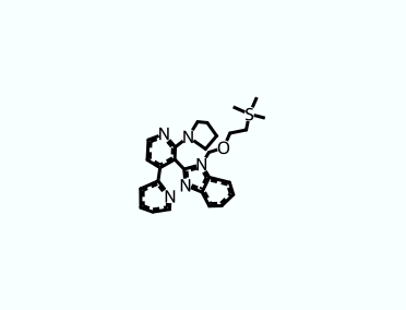 CS(C)(C)CCOCn1c(-c2c(-c3ccccn3)ccnc2N2CCCC2)nc2ccccc21